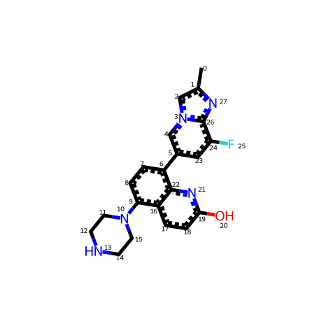 Cc1cn2cc(-c3ccc(N4CCNCC4)c4ccc(O)nc34)cc(F)c2n1